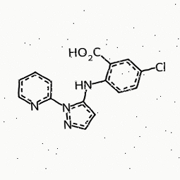 O=C(O)c1cc(Cl)ccc1Nc1ccnn1-c1ccccn1